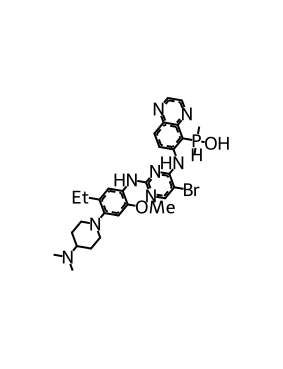 CCc1cc(Nc2ncc(Br)c(Nc3ccc4nccnc4c3[PH](C)(C)O)n2)c(OC)cc1N1CCC(N(C)C)CC1